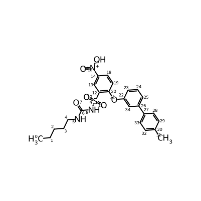 CCCCCNC(=O)NS(=O)(=O)c1cc([N+](=O)O)ccc1Oc1cccc(-c2ccc(C)cc2)c1